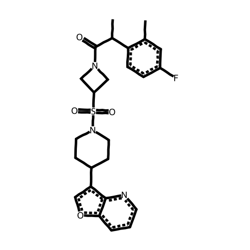 Cc1cc(F)ccc1C(C)C(=O)N1CC(S(=O)(=O)N2CCC(c3coc4cccnc34)CC2)C1